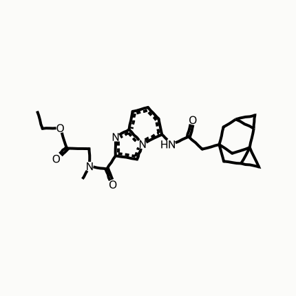 CCOC(=O)CN(C)C(=O)c1cn2c(NC(=O)CC34CC5CC5C5(CC5C3)C4)cccc2n1